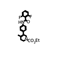 CCOC(=O)N1CCC(C)=C(c2ccc(NC(=O)c3c(F)cccc3F)cc2)C1